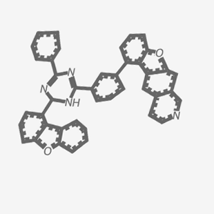 c1ccc(C2=NC(c3cccc4oc5ccccc5c34)NC(c3cccc(-c4cccc5oc6cc7cnccc7cc6c45)c3)=N2)cc1